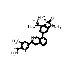 Cc1cc(-c2cc3cccc(-c4cc(C(C)C)c5c(c4)n(C)c(=O)n5C)c3cn2)cnc1C(N)=O